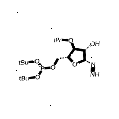 CC(C)OC1[C@@H](COP(OC(C)(C)C)OC(C)(C)C)O[C@@H](N=N)[C@H]1O